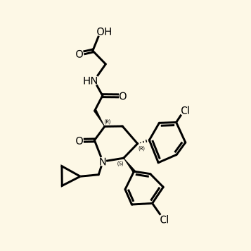 O=C(O)CNC(=O)C[C@H]1C[C@H](c2cccc(Cl)c2)[C@@H](c2ccc(Cl)cc2)N(CC2CC2)C1=O